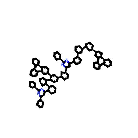 c1ccc(-c2cc(-c3ccccc3-c3ccccc3-c3ccc(-c4cccc(-c5cc(-c6cccc(-c7cccc(-c8cccc(-c9ccc%10c%11ccccc%11c%11ccccc%11c%10c9)c8)c7)c6)nc(-c6ccccc6)n5)c4)cc3-c3ccc4c5ccccc5c5ccccc5c4c3)nc(-c3ccccc3)n2)cc1